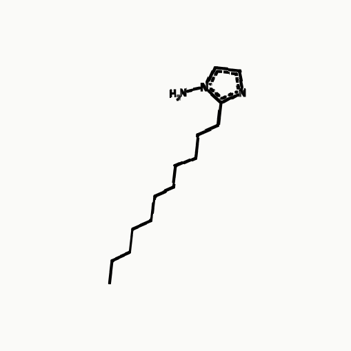 CCCCCCCCCCCc1nccn1N